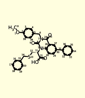 COc1ccc(CN(C(=O)N[C@@H](CSCc2ccccc2)C(=O)O)C(=O)c2cccc(-c3ccccc3)c2)cc1